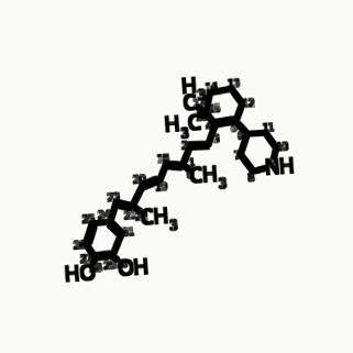 CC(/C=C/C1=C(C2CCNCC2)CCCC1(C)C)=C\C=C\C(C)=C\c1ccc(O)c(O)c1